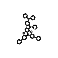 c1ccc(-c2ccc3c(c2)Oc2cc4c5ccc(N(c6ccccc6)c6ccccc6)cc5n(-c5ccccc5)c4c4c2B3c2ccc(-c3ccccc3)cc2O4)cc1